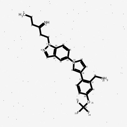 CCCC(=N)CCn1ncc2cc(-n3ccc(-c4ccc(OC(F)(F)F)cc4CN)c3)ccc21